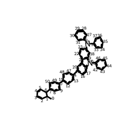 CC1C=CC=CC1c1ccc(-c2ccc(-c3ccc4c(c3)c3ccc(N(c5cc#ccc5)c5ccccc5)cc3n4-c3ccccc3)cc2)cc1